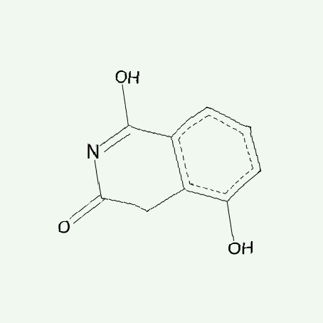 O=C1Cc2c(O)cccc2C(O)=N1